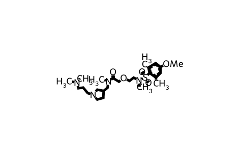 COc1cc(C)c(S(=O)(=O)N(C)CCOCC(=O)N(C)CC2CCN(CCCN(C)C)C2)c(C)c1